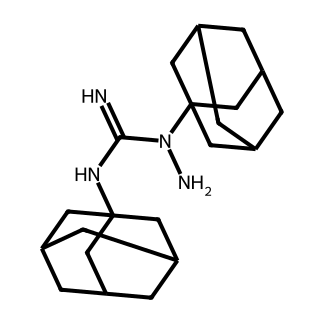 N=C(NC12CC3CC(CC(C3)C1)C2)N(N)C12CC3CC(CC(C3)C1)C2